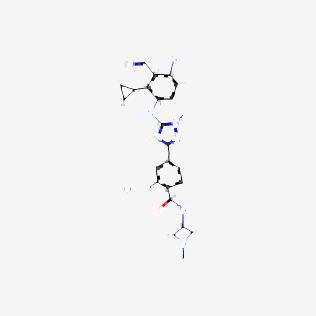 COc1cc(-c2nc(Nc3ccc(N)c(C=N)c3C3CC3)n(C)n2)ccc1C(=O)NC1CN(C)C1